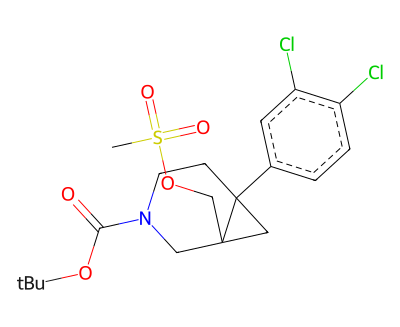 CC(C)(C)OC(=O)N1CCC2(c3ccc(Cl)c(Cl)c3)CC2(COS(C)(=O)=O)C1